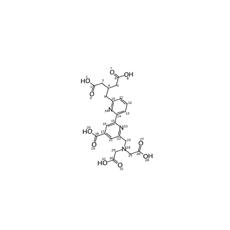 O=C(O)CC(CC(=O)O)Cc1cccc(-c2cc(C(=O)O)cc(CN(CC(=O)O)CC(=O)O)n2)n1